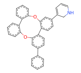 C1=CNCC(c2ccc3c(c2)Oc2ccccc2-c2ccccc2Oc2cc(-c4ccccc4)ccc2-3)=C1